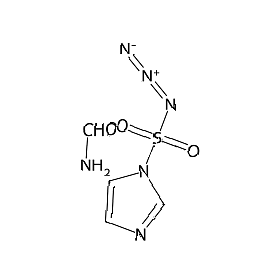 NC=O.[N-]=[N+]=NS(=O)(=O)n1ccnc1